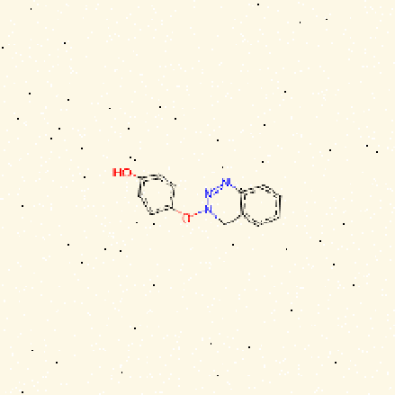 Oc1ccc(ON2Cc3ccccc3N=N2)cc1